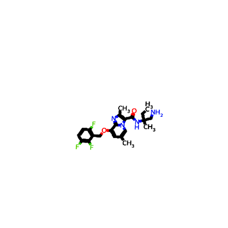 CCC(C)(CN)NC(=O)c1c(C)nc2c(OCc3c(F)ccc(F)c3F)cc(C)cn12